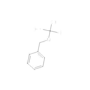 CC(C)(C)NCc1ccccc1